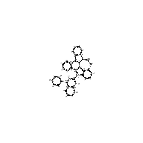 O/N=C1/c2ccccc2-c2c1c1c3ccccc3n(-c3nc(-c4ccccc4)c4ccccc4n3)c1c1ccccc21